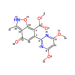 COC(=O)c1c(-c2nc(OC)cc(OC)n2)cc(=O)c2c(C)[nH]oc1-2